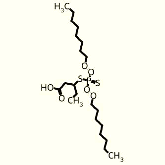 CCCCCCCCOOP(=S)(OOCCCCCCCC)SC(CC)CC(=O)O